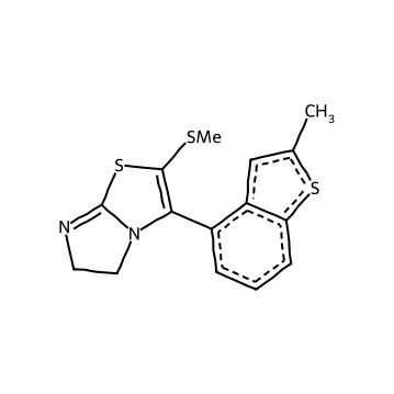 CSC1=C(c2cccc3sc(C)cc23)N2CCN=C2S1